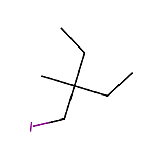 CCC(C)(CC)CI